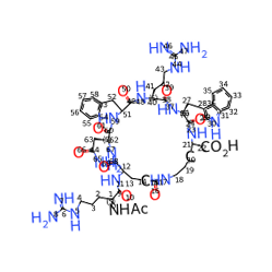 CC(=O)N[C@@H](CCCNC(=N)N)C(=O)NC1CCC(=O)NCCCC(C(=O)O)NC(=O)[C@H](Cc2c[nH]c3ccccc23)NC(=O)[C@H](CCCNC(=N)N)NC(=O)C(Cc2ccccc2)NC(=O)[C@H](CC(N)=O)NC1=O